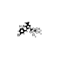 CC(C)(C)OC(=O)N1CC2(CC2)[C@H](N)[C@@H]1Cc1cccc(Br)c1